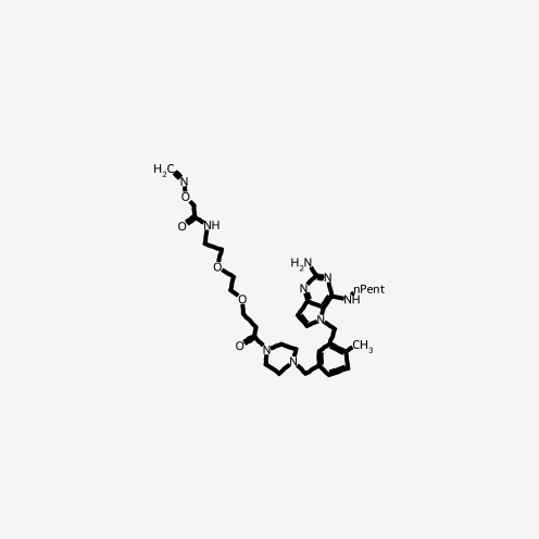 C=NOCC(=O)NCCOCCOCCC(=O)N1CCN(Cc2ccc(C)c(Cn3ccc4nc(N)nc(NCCCCC)c43)c2)CC1